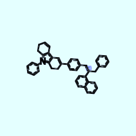 C1=Cc2c3c(n(-c4ccccc4)c2CC1)CCC(c1ccc(/C=C(/Cc2ccccc2)c2cccc4ccccc24)cc1)=C3